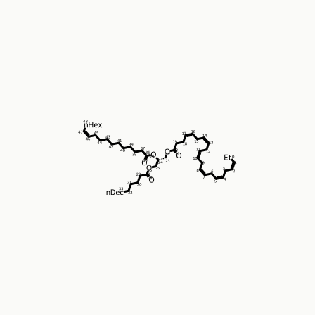 CC/C=C\C/C=C\C/C=C\C/C=C\C/C=C\C/C=C\CCC(=O)OC[C@H](COC(=O)CCCCCCCCCCCCCC)OC(=O)CCCCCCCCC/C=C\CCCCCC